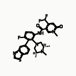 C[C@@H]1CN(c2c(NC(=O)c3cn(C)c(=O)cc3C(F)F)ccc(F)c2-c2ccc3scnc3c2)C[C@H](C)N1C